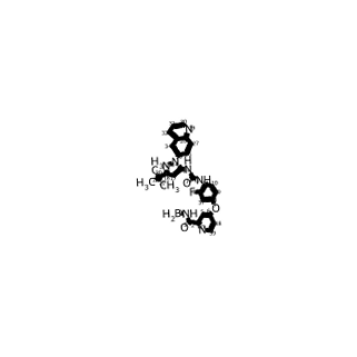 BNC(=O)c1cc(Oc2ccc(NC(=O)Nc3cc(C(C)(C)C)nn3-c3ccc4ncccc4c3)c(F)c2)ccn1